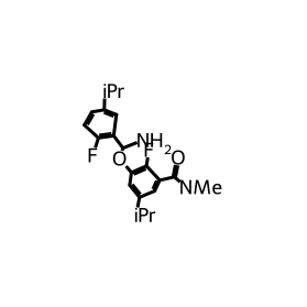 CNC(=O)c1cc(C(C)C)cc(OC(N)c2cc(C(C)C)ccc2F)c1F